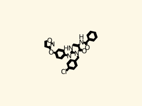 O=C(Nc1c[nH]/c(=N\c2ccc(Oc3ccon3)cc2)n(Cc2ccc(Cl)cc2)c1=O)c1ccccc1